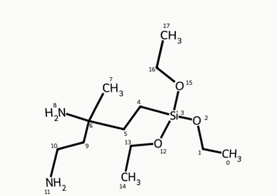 CCO[Si](CCC(C)(N)CCN)(OCC)OCC